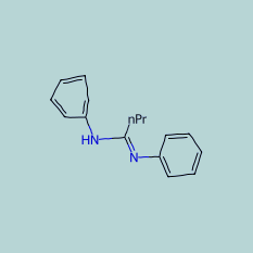 CCC/C(=N\c1ccccc1)Nc1ccccc1